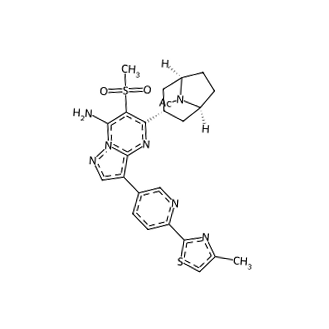 CC(=O)N1[C@@H]2CC[C@H]1C[C@H](c1nc3c(-c4ccc(-c5nc(C)cs5)nc4)cnn3c(N)c1S(C)(=O)=O)C2